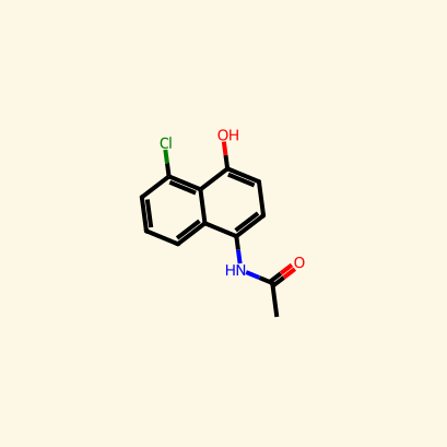 CC(=O)Nc1ccc(O)c2c(Cl)cccc12